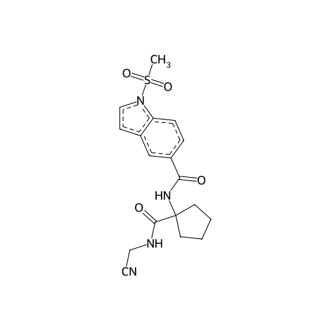 CS(=O)(=O)n1ccc2cc(C(=O)NC3(C(=O)NCC#N)CCCC3)ccc21